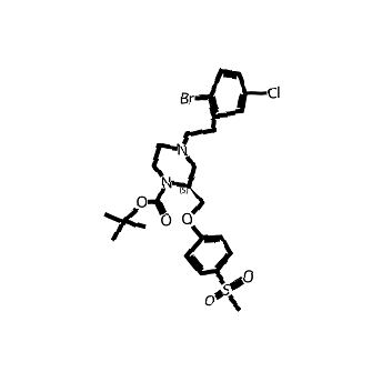 CC(C)(C)OC(=O)N1CCN(CCc2cc(Cl)ccc2Br)C[C@H]1COc1ccc(S(C)(=O)=O)cc1